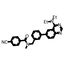 CCN(CC)c1ncnc2ccc(-c3cccc(CN(C)C(=O)c4ccc(C#N)cc4)c3)cc12